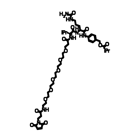 CC(C)C(=O)OCc1ccc(NC(=O)C(CCCNC(N)=O)NC(=O)[C@@H](NC(=O)CCOCCOCCOCCOCCOCCOCCNC(=O)CCN2C(=O)C=CC2=O)C(C)C)cc1